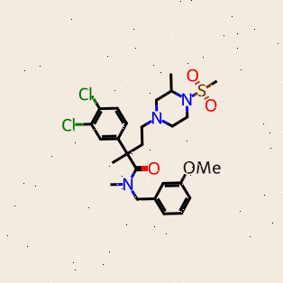 COc1cccc(CN(C)C(=O)C(C)(CCN2CCN(S(C)(=O)=O)C(C)C2)c2ccc(Cl)c(Cl)c2)c1